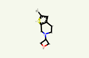 CCc1cc2c(s1)CN(C1COC1)CC2